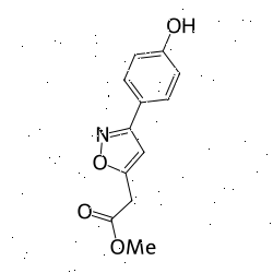 COC(=O)Cc1cc(-c2ccc(O)cc2)no1